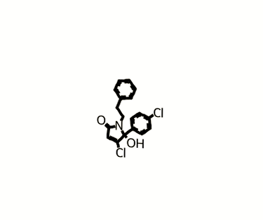 O=C1C=C(Cl)C(O)(c2ccc(Cl)cc2)N1CCc1ccccc1